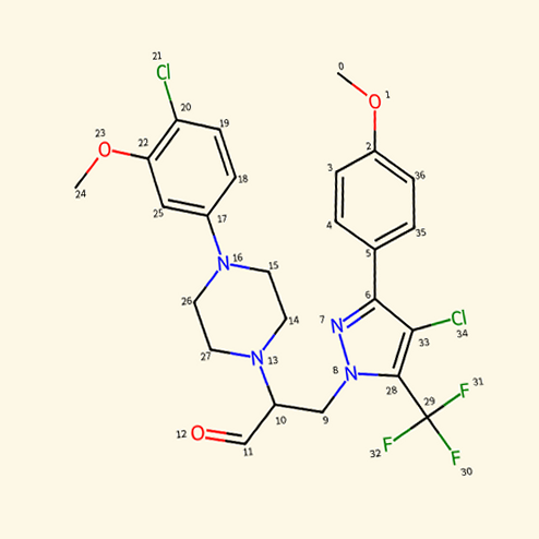 COc1ccc(-c2nn(CC(C=O)N3CCN(c4ccc(Cl)c(OC)c4)CC3)c(C(F)(F)F)c2Cl)cc1